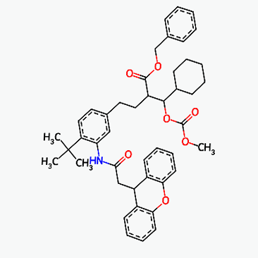 COC(=O)OC(C1CCCCC1)C(CCc1ccc(C(C)(C)C)c(NC(=O)CC2c3ccccc3Oc3ccccc32)c1)C(=O)OCc1ccccc1